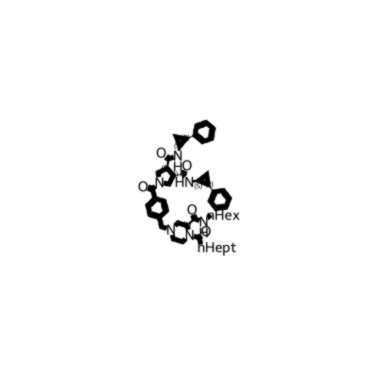 CCCCCCCC(=O)N1CCN(Cc2ccc(C(=O)N3C[C@@H](C(=O)N[C@H]4C[C@@H]4c4ccccc4)[C@H](C(=O)N[C@H]4C[C@@H]4c4ccccc4)C3)cc2)C[C@H]1C(=O)NCCCCCC